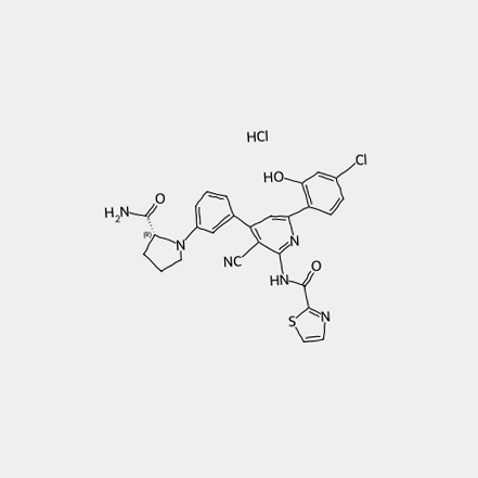 Cl.N#Cc1c(-c2cccc(N3CCC[C@@H]3C(N)=O)c2)cc(-c2ccc(Cl)cc2O)nc1NC(=O)c1nccs1